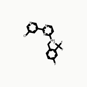 Fc1ccc(CNc2ccnc(-c3cncc(Cl)c3)n2)c(C(F)(F)F)c1